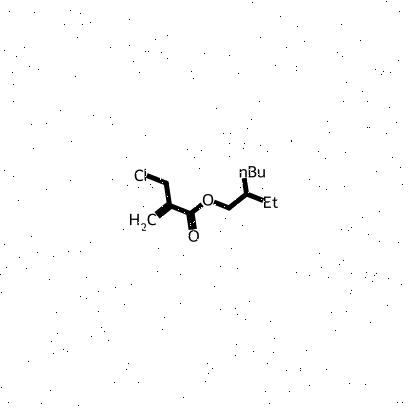 C=C(CCl)C(=O)OCC(CC)CCCC